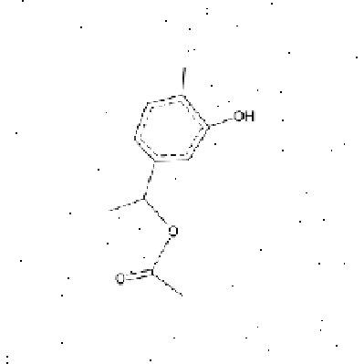 CC(=O)OC(C)c1ccc(C)c(O)c1